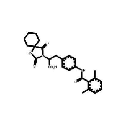 Cc1cccc(C)c1C(=O)Nc1ccc(CC(C(=O)O)N2C(=O)NC3(CCCCC3)C2=O)cc1